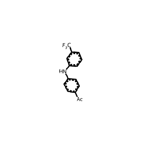 CC(=O)c1ccc(Nc2cccc(C(F)(F)F)c2)cc1